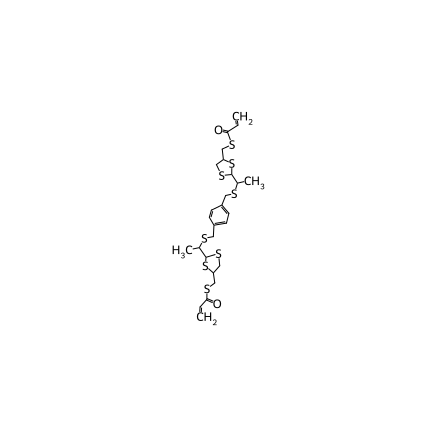 C=CC(=O)SCC1CSC(C(C)SCc2ccc(CSC(C)C3SCC(CSC(=O)C=C)S3)cc2)S1